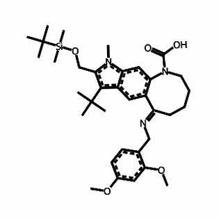 COc1ccc(CN=C2CCCCN(C(=O)O)c3cc4c(cc32)c(C(C)(C)C)c(CO[Si](C)(C)C(C)(C)C)n4C)c(OC)c1